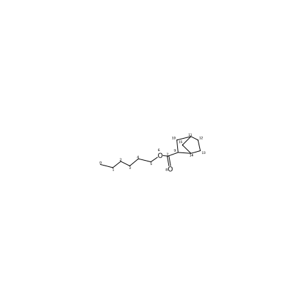 CCCCCCOC(=O)C1CC2CCC1C2